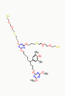 CCCCOc1nc(OCCCC)nc(OCCCCC(CCCCOc2nc(OCCCSCCOCCOCCS)nc(OCCCSCCOCCOCCS)n2)c2cc(C(C)(C)C)c(O)c(C(C)(C)C)c2)n1